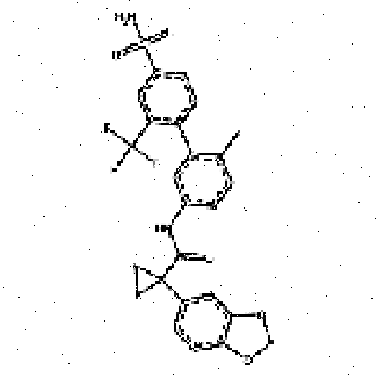 Cc1ccc(NC(=O)C2(c3ccc4c(c3)OCO4)CC2)cc1-c1ccc(S(N)(=O)=O)cc1C(F)(F)F